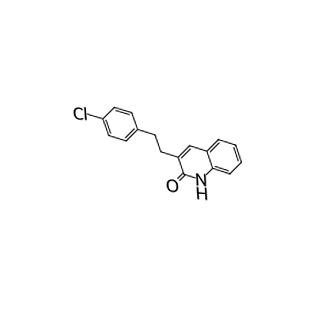 O=c1[nH]c2ccccc2cc1CCc1ccc(Cl)cc1